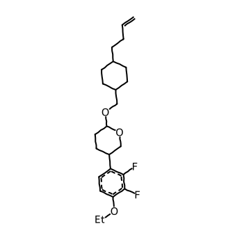 C=CCCC1CCC(COC2CCC(c3ccc(OCC)c(F)c3F)CO2)CC1